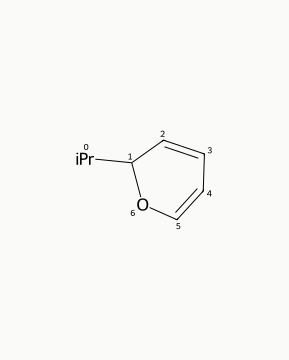 CC(C)C1C=CC=CO1